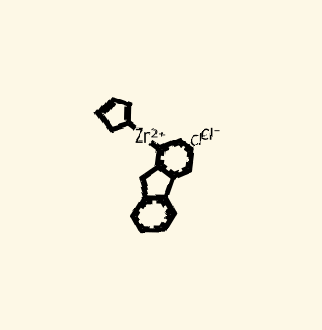 C1=CC[C]([Zr+2][c]2cccc3c2Cc2ccccc2-3)=C1.[Cl-].[Cl-]